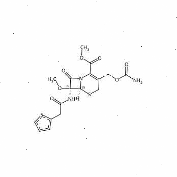 COC(=O)C1=C(COC(N)=O)CS[C@@H]2N1C(=O)[C@]2(NC(=O)Cc1cccs1)OC